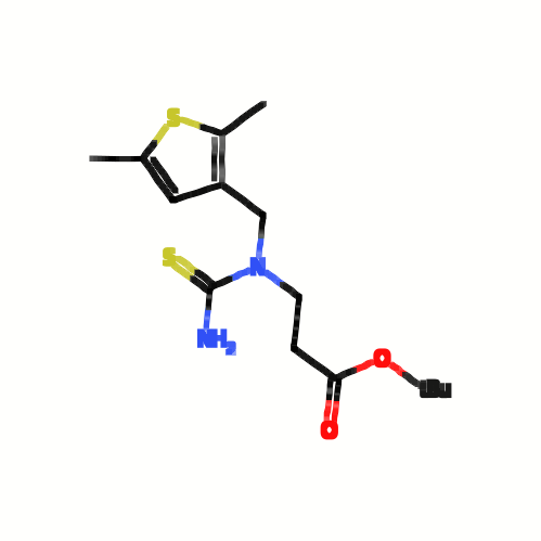 Cc1cc(CN(CCC(=O)OC(C)(C)C)C(N)=S)c(C)s1